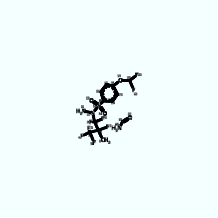 CC(F)(C(F)(F)F)C(F)(F)N(N)S(=O)(=O)c1ccc(OC(F)F)cc1.NC=O